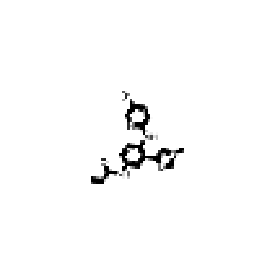 C=CC(=O)Nc1ccc(Nc2ccc(Br)cn2)c(-c2cn(C)cn2)c1